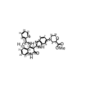 COC(=O)C1CN(c2ccc3nc(-c4c(NC(C)c5ccccn5)c5ccccc5[nH]c4=O)[nH]c3c2)CCO1